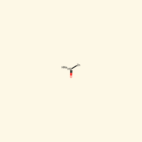 O=[SiH][Zn].[NaH]